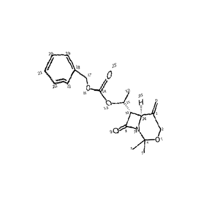 C=C1COC(C)(C)N2C(=O)[C@H](C(C)OC(=O)OCc3ccccc3)[C@@H]12